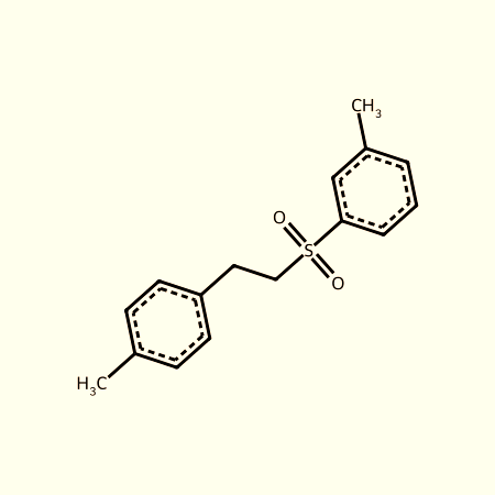 Cc1ccc(CCS(=O)(=O)c2cccc(C)c2)cc1